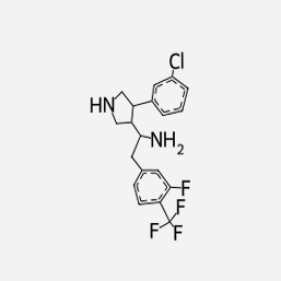 NC(Cc1ccc(C(F)(F)F)c(F)c1)C1CNCC1c1cccc(Cl)c1